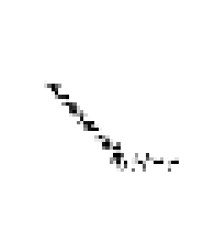 [CH2]CC#CCCCCC(CC)CCCCCCCCCCCCCCCCC[CH2]